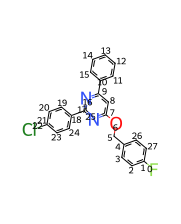 Fc1ccc(COc2cc(-c3ccccc3)nc(-c3ccc(Cl)cc3)n2)cc1